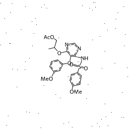 COc1ccc(S(=O)(=O)Nc2ncnc(OC(C)COC(C)=O)c2Oc2cccc(OC)c2)cc1